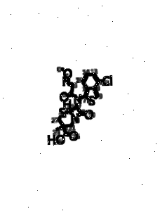 CON=CC(=O)N(c1scc2c(Cl)cccc12)C1C(=O)N2CC(C)(C(=O)O)CS[C@H]12